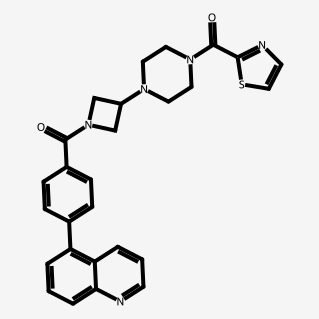 O=C(c1ccc(-c2cccc3ncccc23)cc1)N1CC(N2CCN(C(=O)c3nccs3)CC2)C1